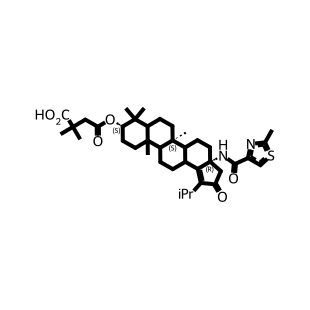 Cc1nc(C(=O)N[C@@]23CCC4C(CCC5C6(C)CC[C@H](OC(=O)CC(C)(C)C(=O)O)C(C)(C)C6CC[C@@]45C)C2=C(C(C)C)C(=O)C3)cs1